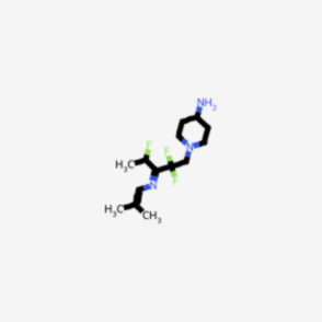 CC(C)=C/N=C(\C(C)F)C(F)(F)CN1CCC(N)CC1